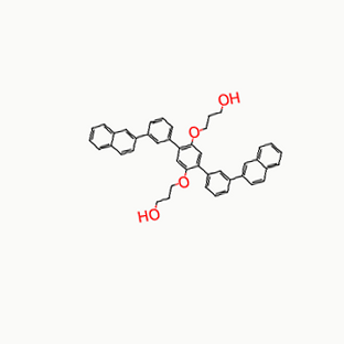 OCCCOc1cc(-c2cccc(-c3ccc4ccccc4c3)c2)c(OCCCO)cc1-c1cccc(-c2ccc3ccccc3c2)c1